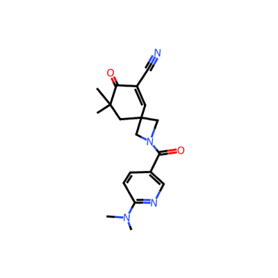 CN(C)c1ccc(C(=O)N2CC3(C=C(C#N)C(=O)C(C)(C)C3)C2)cn1